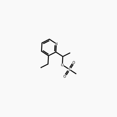 CCc1cccnc1C(C)OS(C)(=O)=O